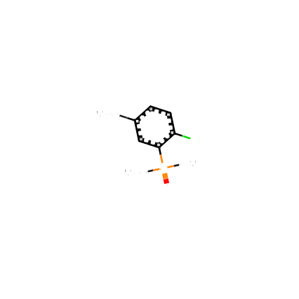 COc1ccc(Cl)c(P(=O)(OC)OC)c1